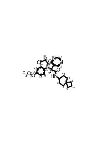 C[C@](C(=O)NC1CCC2(CCC2)CC1)(c1cncnc1)N(C(=O)[C@H](F)Cl)c1ccc(OC(F)(F)F)cc1